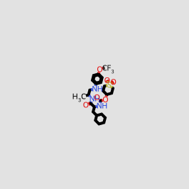 CC(CNc1ccc(OC(F)(F)F)cc1)NC(=O)C(CC1CCCCC1)NC(=O)OC1CCS(=O)(=O)CC1